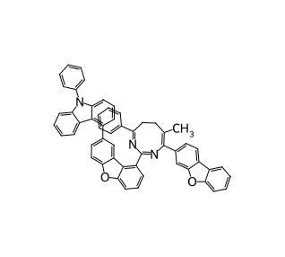 C/C1=C(c2ccc3c(c2)oc2ccccc23)/N=C(c2cccc3oc4ccc(-c5cccc6c5c5ccccc5n6-c5ccccc5)cc4c23)\N=C(\c2ccccc2)CC1